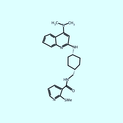 CSc1ncccc1C(=O)NC[C@H]1CC[C@@H](Nc2cc(N(C)C)c3ccccc3n2)CC1